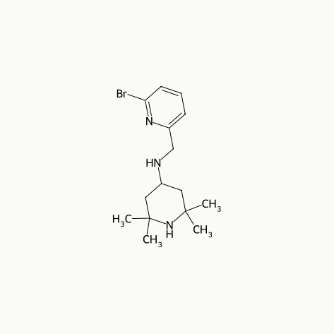 CC1(C)CC(NCc2cccc(Br)n2)CC(C)(C)N1